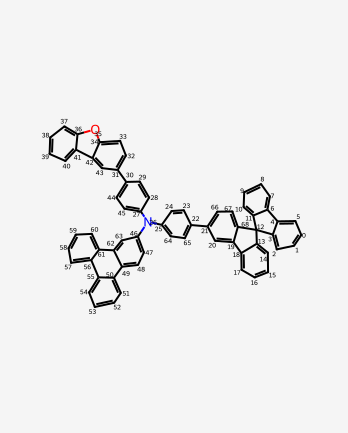 c1ccc2c(c1)-c1ccccc1C21c2ccccc2-c2cc(-c3ccc(N(c4ccc(-c5ccc6oc7ccccc7c6c5)cc4)c4ccc5c6ccccc6c6ccccc6c5c4)cc3)ccc21